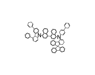 C1=CCC(C2=CCC(N(C3=CCCC4=C3c3ccccc3C43c4ccccc4-c4ccccc43)c3ccc(-c4ccc(N5c6ccc(C7=CCCC=C7)cc6C6C(c7ccccc7)=CC=CC65)c5ccccc45)c4ccccc34)C=C2)C=C1